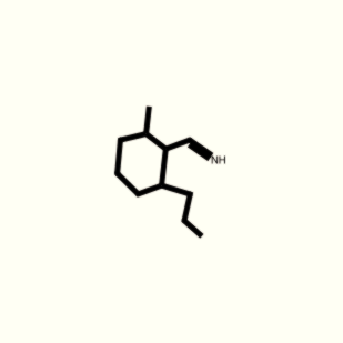 CCCC1CCCC(C)C1C=N